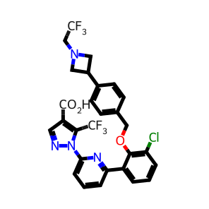 O=C(O)c1cnn(-c2cccc(-c3cccc(Cl)c3OCc3ccc(C4CN(CC(F)(F)F)C4)cc3)n2)c1C(F)(F)F